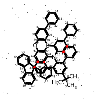 CC(C)(C)c1cc(-c2ccccc2)c(N2c3ccc(-c4ccccc4)cc3B3c4cc(-c5ccccc5)ccc4Oc4cc(C5(c6ccccc6)c6ccccc6-c6ccccc65)cc2c43)c(-c2ccccc2)c1